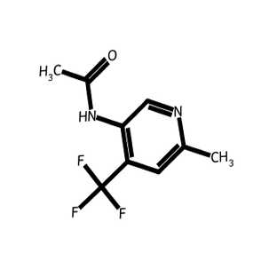 CC(=O)Nc1cnc(C)cc1C(F)(F)F